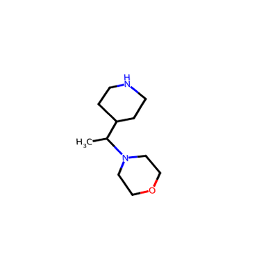 CC(C1CCNCC1)N1CCOCC1